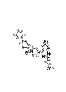 CCc1cc2c(N3CCN(C(=O)c4ccc(-c5ccccc5)cc4)CC3)nc(OC[C@H]3CO3)nc2s1